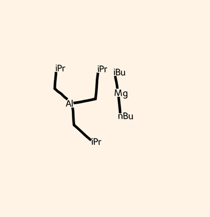 CC(C)[CH2][Al]([CH2]C(C)C)[CH2]C(C)C.CCC[CH2][Mg][CH](C)CC